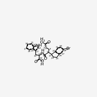 CC(=O)SCC(C(=O)NC(Cc1c[nH]c2ccccc12)C(=O)O)C1CCc2cc(Br)ccc21